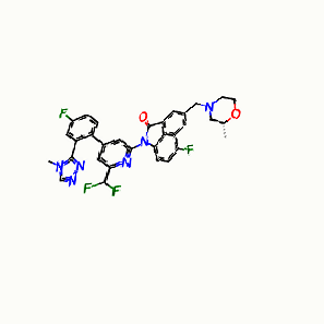 C[C@@H]1CN(Cc2cc3c4c(ccc(F)c4c2)N(c2cc(-c4ccc(F)cc4-c4nncn4C)cc(C(F)F)n2)C3=O)CCO1